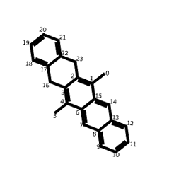 Cc1c2c(c(C)c3cc4ccccc4cc13)Cc1ccccc1C2